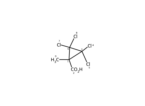 CC1(C(=O)O)C(Cl)(Cl)C1(Cl)Cl